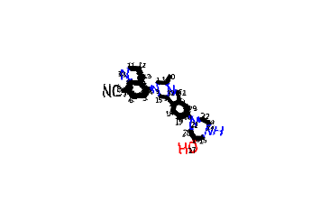 CC1CN(c2ccc(C#N)c3ncccc23)CC2c3ccc(N4CCNCC(O)C4)cc3CN12